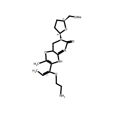 C/C=C(/OCCN)C1=C(C)OC2CN([C@H]3CC[C@@H](COC)O3)C(=O)N=C2N1